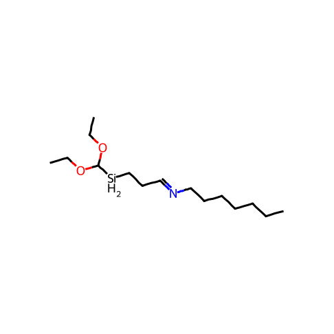 CCCCCCCN=CCC[SiH2]C(OCC)OCC